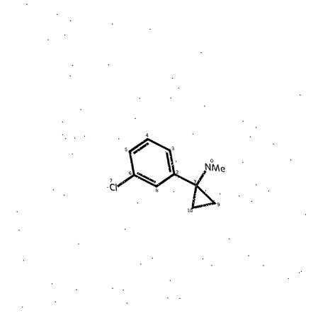 CNC1(c2cccc(Cl)c2)CC1